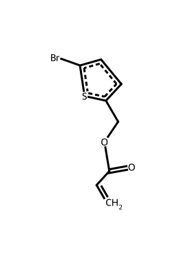 C=CC(=O)OCc1ccc(Br)s1